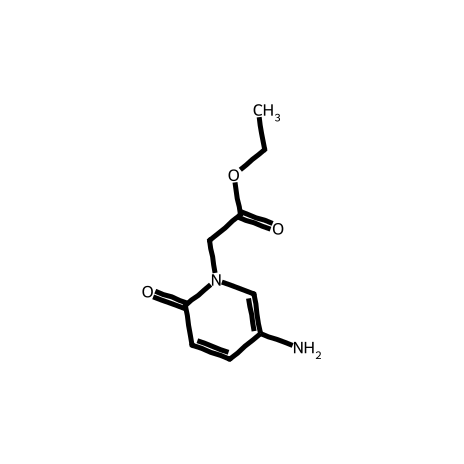 CCOC(=O)Cn1cc(N)ccc1=O